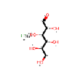 O=C[C@H](O)[C@@H](O)[C@H](O)[C@H](O)CO.[Cl-].[Na+]